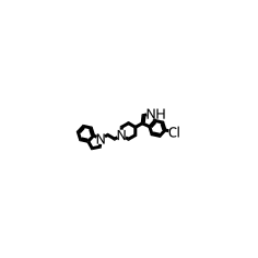 Clc1ccc2c(C3CCN(CCN4CCc5ccccc54)CC3)c[nH]c2c1